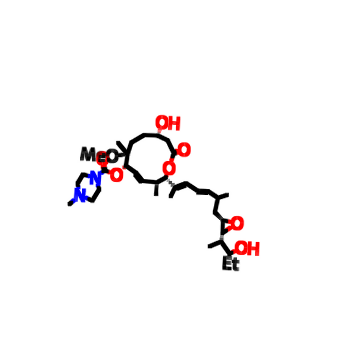 CCC(O)C(C)[C@H]1O[C@@H]1CC(C)/C=C/C=C(\C)[C@H]1OC(=O)C[C@@H](O)CC[C@](C)(OC)[C@@H](OC(=O)N2CCN(C)CC2)/C=C/[C@@H]1C